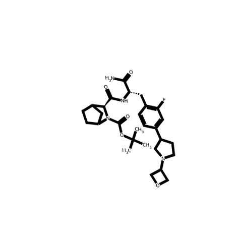 CC(C)(C)OC(=O)N1C2CCC(C2)[C@H]1C(=O)N[C@@H](Cc1ccc(C2CCN(C3COC3)C2)cc1F)C(N)=O